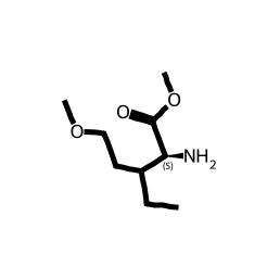 CCC(CCOC)[C@H](N)C(=O)OC